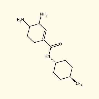 NC1C=C(C(=O)N[C@H]2CC[C@H](C(F)(F)F)CC2)CCC1N